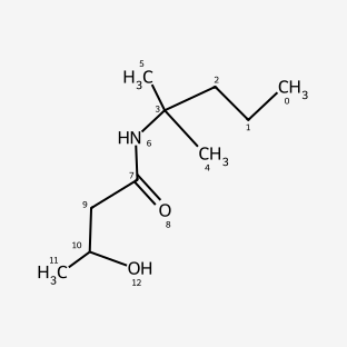 CCCC(C)(C)NC(=O)CC(C)O